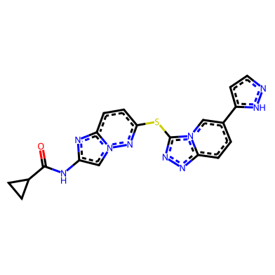 O=C(Nc1cn2nc(Sc3nnc4ccc(-c5ccn[nH]5)cn34)ccc2n1)C1CC1